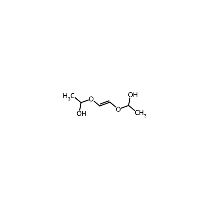 CC(O)OC=COC(C)O